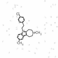 Cc1ccc2c(c1)c1c(n2CCc2ccc(Cl)cc2)CCN(C)CC1